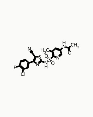 CC(=O)Nc1cnc(S(=O)(=O)Nc2nc(-c3ccc(F)c(Cl)c3)c(C#N)s2)c(C)c1